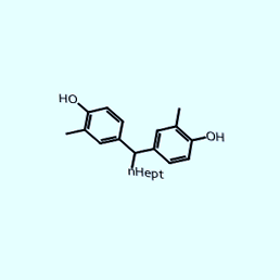 CCCCCCCC(c1ccc(O)c(C)c1)c1ccc(O)c(C)c1